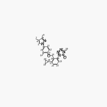 Cc1cc(-n2cc(C)c(C)n2)ccc1OCc1c(C2CC2)cccc1-n1nnn(C)c1=O